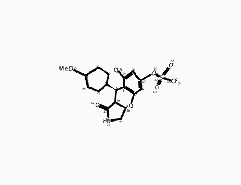 COC1CCC([C@@H](c2c(Cl)cc(OS(=O)(=O)C(F)(F)F)cc2Cl)C2CCNC2=O)CC1